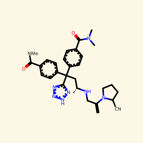 C=C(CN[C@H](C)CC(c1ccc(C(=O)NC)cc1)(c1ccc(C(=O)N(C)C)cc1)c1nn[nH]n1)N1CCCC1C#N